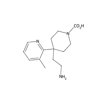 Cc1cccnc1C1(CCN)CCN(C(=O)O)CC1